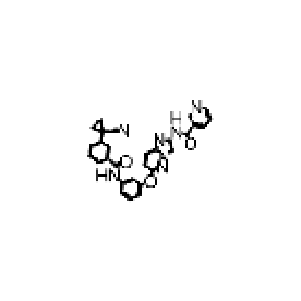 N#CC1(c2cccc(C(=O)Nc3cccc(OC4=NN5CC(NC(=O)c6cccnc6)N=C5C=C4)c3)c2)CC1